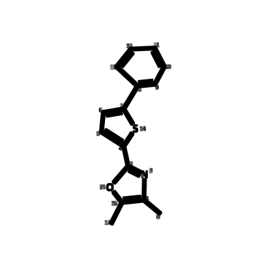 Cc1nc(-c2ccc(-c3ccccc3)s2)oc1C